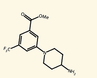 COC(=O)c1cc(N2CCC(N)CC2)cc(C(F)(F)F)c1